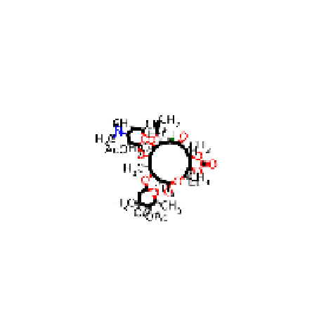 C=CCO[C@]1(C)C[C@](C)(F)C(=O)[C@H](C)[C@H]2OC(=O)O[C@]2(C)[C@@H](CC)OC(=O)[C@H](C)[C@@H](OC2C[C@@](C)(OC)[C@@H](OC(C)=O)[C@H](C)O2)[C@H](C)[C@H]1O[C@@H]1O[C@H](C)C[C@H](N(C)C)[C@H]1OC(C)=O